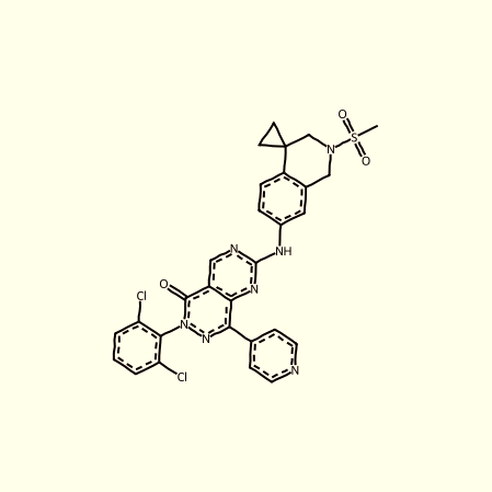 CS(=O)(=O)N1Cc2cc(Nc3ncc4c(=O)n(-c5c(Cl)cccc5Cl)nc(-c5ccncc5)c4n3)ccc2C2(CC2)C1